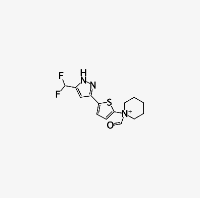 O=C[N+]1(c2ccc(-c3cc(C(F)F)[nH]n3)s2)CCCCC1